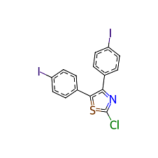 Clc1nc(-c2ccc(I)cc2)c(-c2ccc(I)cc2)s1